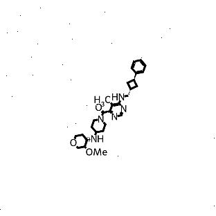 COC1COCC[C@@H]1NC1CCN(C(=O)c2ncnc(NC[C@H]3C[C@H](c4ccccc4)C3)c2C)CC1